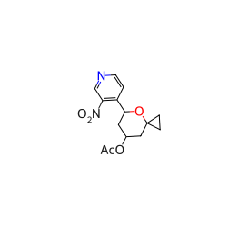 CC(=O)OC1CC(c2ccncc2[N+](=O)[O-])OC2(CC2)C1